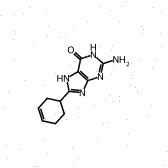 Nc1nc2nc(C3CC=CCC3)[nH]c2c(=O)[nH]1